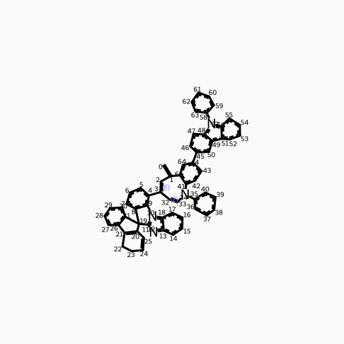 C=C1/C=C(c2cccc3c2-n2c(nc4ccccc42)C32C3=C(CCC=C3)c3ccccc32)\C=C/N(c2ccccc2)c2ccc(-c3ccc4c(c3)c3ccccc3n4-c3ccccc3)cc21